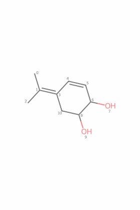 CC(C)=C1C=CC(O)C(O)C1